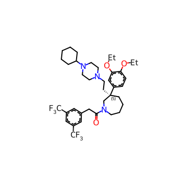 CCOc1ccc([C@@]2(CCN3CCN(C4CCCCC4)CC3)CCCCN(C(=O)Cc3cc(C(F)(F)F)cc(C(F)(F)F)c3)C2)cc1OCC